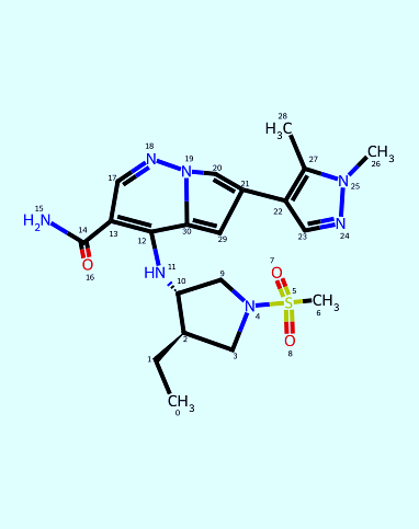 CC[C@@H]1CN(S(C)(=O)=O)C[C@H]1Nc1c(C(N)=O)cnn2cc(-c3cnn(C)c3C)cc12